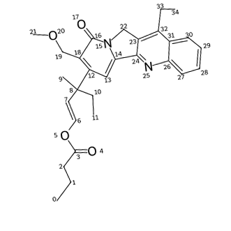 CCCC(=O)OC=CC(C)(CC)c1cc2n(c(=O)c1COC)Cc1c-2nc2ccccc2c1CC